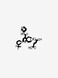 O=C(Nc1cccnn1)c1cc(N2CCC[C@H](C(F)(F)F)C2)nc2c1CCOCC2.O=C(O)/C=C/C(=O)O